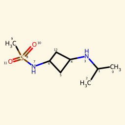 CC(C)NC1CC(NS(C)(=O)=O)C1